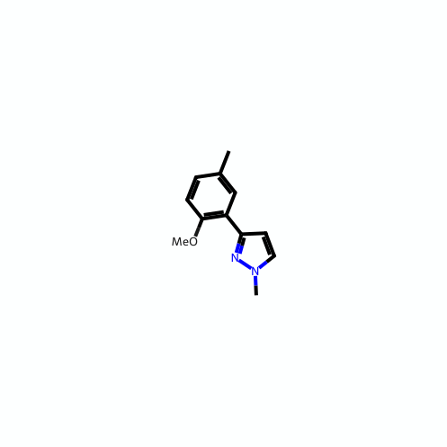 COc1ccc(C)cc1-c1ccn(C)n1